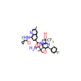 Cc1cnc2c(NC(=O)C3(F)CC3)cc(C(=O)NC[C@@](O)(c3cc4c(c(-c5ccc(F)cc5)n3)OC[C@]4(C)C(N)=O)C(F)(F)F)cc2c1